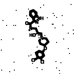 CN(C[C@@H](O)CN1CCC(Oc2ccc(Cl)c(Cl)c2)CC1)C(=O)c1n[nH]c2ccccc12